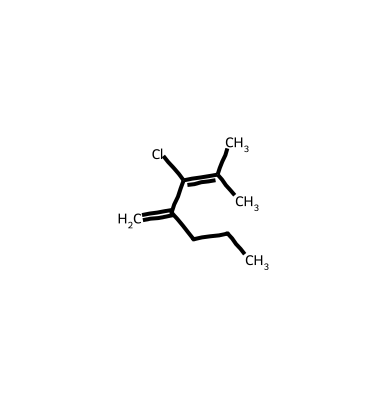 C=C(CCC)C(Cl)=C(C)C